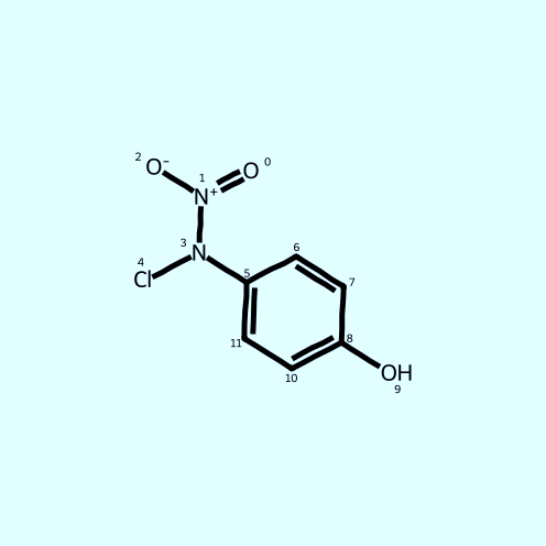 O=[N+]([O-])N(Cl)c1ccc(O)cc1